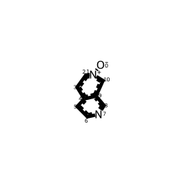 [O-][n+]1ccc2ccncc2c1